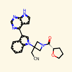 N#CCC1(n2cc(-c3ncnc4[nH]ccc34)c3ccccc32)CN(C(=O)[C@@H]2CCCO2)C1